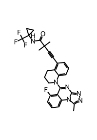 Cc1nnc2nc(N3CCCc4c(C#CC(C)(C)C(=O)NC5(C(F)(F)F)CC5)cccc43)c3c(F)cccc3n12